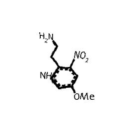 COc1ccc(CCN)c([N+](=O)[O-])c1.N